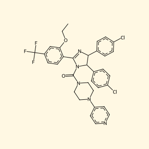 CCOc1cc(C(F)(F)F)ccc1C1=NC(c2ccc(Cl)cc2)C(c2ccc(Cl)cc2)N1C(=O)N1CCN(c2ccncc2)CC1